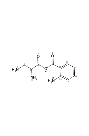 NCC(N)C(=O)OC(=O)c1ccccc1N